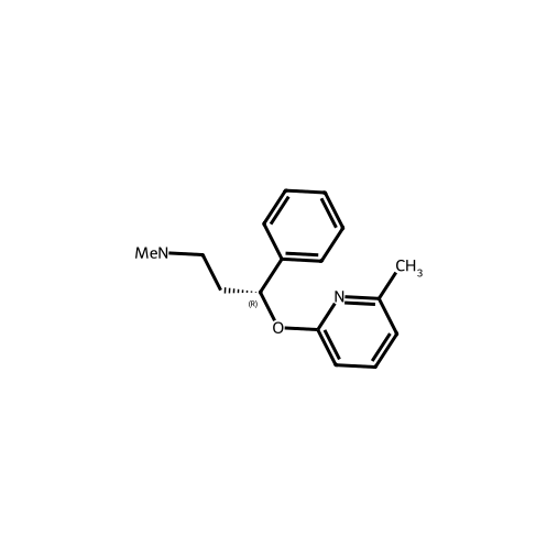 CNCC[C@@H](Oc1cccc(C)n1)c1ccccc1